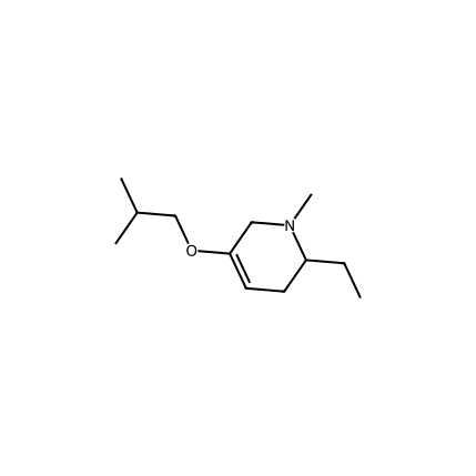 CCC1CC=C(OCC(C)C)CN1C